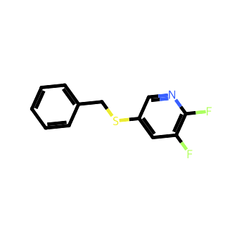 Fc1cc(SCc2ccccc2)cnc1F